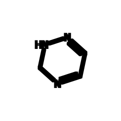 C1=NCNN=C1